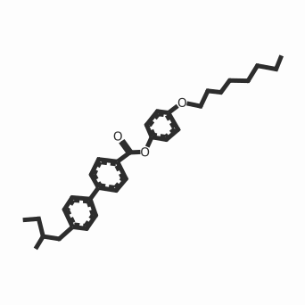 CCCCCCCCOc1ccc(OC(=O)c2ccc(-c3ccc(CC(C)CC)cc3)cc2)cc1